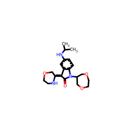 CC(C)Nc1ccc2c(c1)/C(=C1\COCCN1)C(=O)N2C1COCCOC1